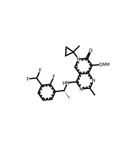 COc1c(=O)n(C2(C)CC2)cc2c(N[C@H](C)c3cccc(C(F)F)c3F)nc(C)nc12